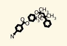 CC(C)(CC(C)(C)c1ccccc1)Oc1ccc(OC(=O)c2ccc(C#N)cc2)cc1